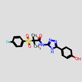 CC(C)(C(=O)Nc1nnc(C2=CC=C(O)CC2)[nH]1)S(=O)(=O)c1ccc(F)cc1